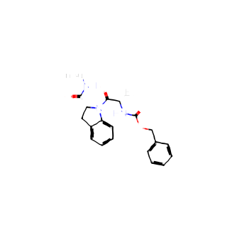 CCCCNC(=O)[C@H]1[C@@H](C)c2ccccc2N1C(=O)[C@H](CC)NC(=O)OCc1ccccc1